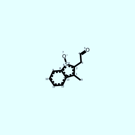 Cc1c(CC=O)[s+]([O-])c2ccccc12